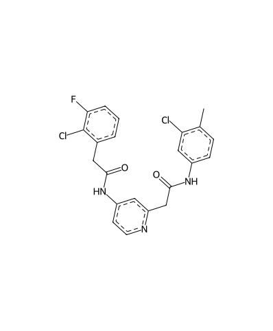 Cc1ccc(NC(=O)Cc2cc(NC(=O)Cc3cccc(F)c3Cl)ccn2)cc1Cl